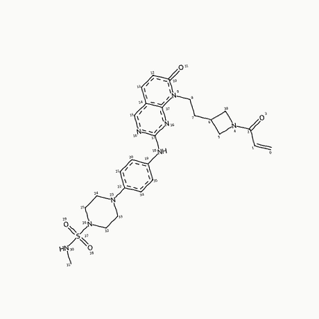 C=CC(=O)N1CC(CCn2c(=O)ccc3cnc(Nc4ccc(N5CCN(S(=O)(=O)NC)CC5)cc4)nc32)C1